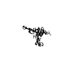 C=CC(=O)N1CCCC(n2cc(Nc3ncc(C(N)=O)c(Nc4c(C)cc(C(=O)NCCOC)cc4OC)n3)cn2)C1